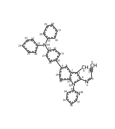 C#C/C=N\c1c(C)c2cc(-c3ccc(N(c4ccccc4)c4ccccc4)cc3)ccc2n1-c1ccccn1